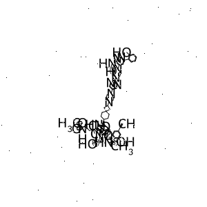 C#Cc1ccc([C@H](C)NC(=O)[C@@H]2C[C@@H](O)CN2C(=O)[C@@H](NC(=O)C2CCC3(CC2)CC(N2CCN(c4cnc(N5CCN6c7cc(-c8ccccc8O)nnc7NC[C@H]6C5)nc4)CC2)C3)C(C)(C)CCNS(C)(=O)=O)c(O)c1